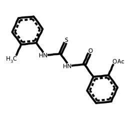 CC(=O)Oc1ccccc1C(=O)NC(=S)Nc1ccccc1C